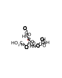 CN(Cc1ccccc1CN(CC(=O)Nc1ccc2c(c1)C[C@@]1(C2)C(=O)Nc2ncccc21)C(=O)C12CC(NC(=O)OCc3ccccc3)(C1)C2)C(=O)O